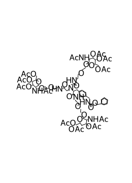 CC(=O)NC1C(OCCOCCNC(=O)CN(CC(=O)NCCOCCOC2OC(COC(C)=O)C(OC(C)=O)C(OC(C)=O)C2NC(C)=O)C(Cc2ccc(CNC(=O)OCc3ccccc3)cc2)C(=O)NCCOCCOC2OC(COC(C)=O)C(OC(C)=O)C(OC(C)=O)C2NC(C)=O)OC(COC(C)=O)C(OC(C)=O)C1OC(C)=O